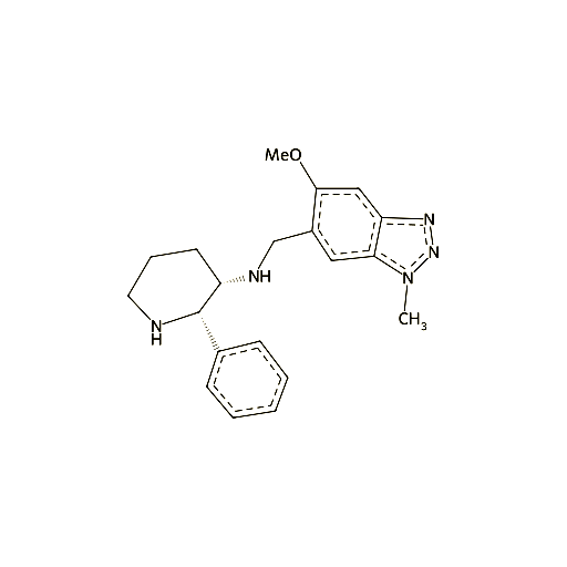 COc1cc2nnn(C)c2cc1CN[C@H]1CCCN[C@H]1c1ccccc1